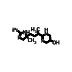 CC(C)C1=NCC(C)(CCC(C)C2=NCC(O)CN2)N1